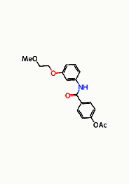 COCCOc1cccc(NC(=O)c2ccc(OC(C)=O)cc2)c1